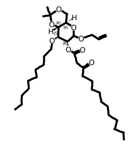 C=CCOC1O[C@@H]2COC(C)(C)O[C@H]2[C@H](OCCCCCCCCCC)[C@H]1OC(=O)CC(=O)CCCCCCCCCCC